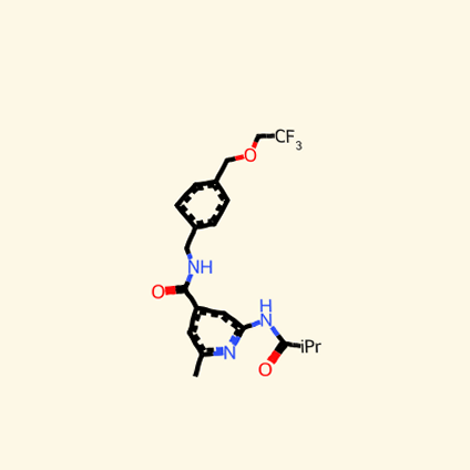 Cc1cc(C(=O)NCc2ccc(COCC(F)(F)F)cc2)cc(NC(=O)C(C)C)n1